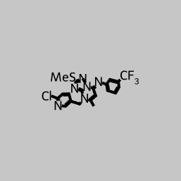 CSc1nc2n(Cc3ccc(Cl)nc3)c(C)c/c(=N\c3cccc(C(F)(F)F)c3)n2n1